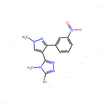 Cn1cc(-c2nnc(S)n2C)c(-c2cccc([N+](=O)[O-])c2)n1